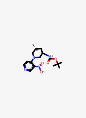 C[C@@H]1CC(NC(=O)OC(C)(C)C)CN(c2ccncc2[N+](=O)[O-])C1